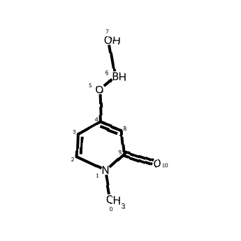 Cn1ccc(OBO)cc1=O